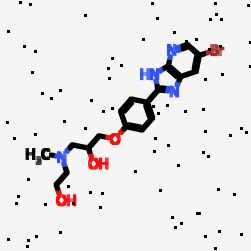 CN(CCO)CC(O)COc1ccc(-c2nc3cc(Br)cnc3[nH]2)cc1